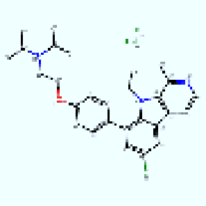 CCn1c2c(-c3ccc(OCCN(C(C)C)C(C)C)cc3)cc(Cl)cc2c2ccnc(C)c21.Cl.Cl